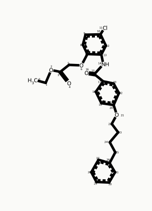 CCOC(=O)COc1ccc(Cl)cc1NC(=O)c1ccc(OCCCCc2ccccc2)cc1